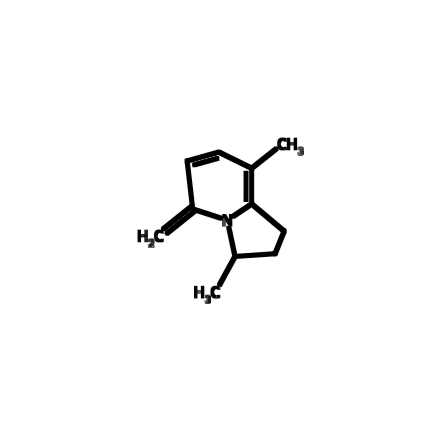 C=C1C=CC(C)=C2CCC(C)N12